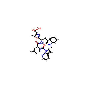 Cc1oc([C@@H](Cc2cn(C)c3ccccc23)NC(=O)[C@H](CC(C)C)NC(=O)n2ccc3cccnc32)nc1C(=O)O